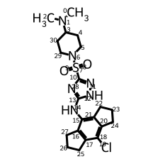 CN(C)C1CCN(S(=O)(=O)c2n[nH]c(Nc3c4c(c(Cl)c5c3CCC5)CCC4)n2)CC1